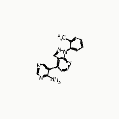 Nc1ncncc1-c1ccnc2c1cnn2-c1ccccc1C(F)(F)F